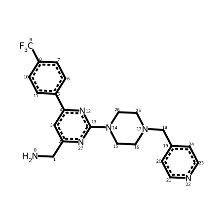 NCc1cc(-c2ccc(C(F)(F)F)cc2)nc(N2CCN(Cc3ccncc3)CC2)n1